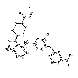 C=CC(=O)N1CCC(c2c[nH]c3ncnc(Nc4ccc(Oc5cccc(C(F)F)c5)c(Cl)c4)c23)CC1